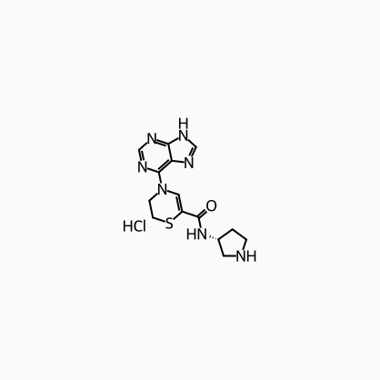 Cl.O=C(N[C@@H]1CCNC1)C1=CN(c2ncnc3[nH]cnc23)CCS1